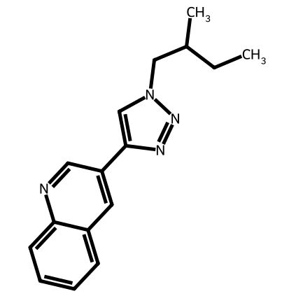 CCC(C)Cn1cc(-c2cnc3ccccc3c2)nn1